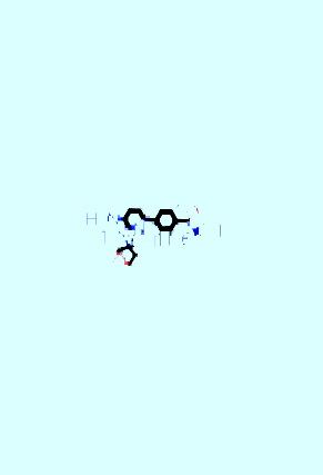 CN(C)C(=O)c1ccc(-c2ccc(N)c(NC3(C)CCOC3)n2)cc1